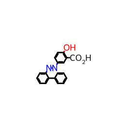 O=C(O)c1cc(/N=N/c2ccccc2-c2ccccc2)ccc1O